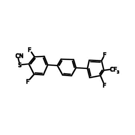 N#CSc1c(F)cc(-c2ccc(-c3cc(F)c(C(F)(F)F)c(F)c3)cc2)cc1F